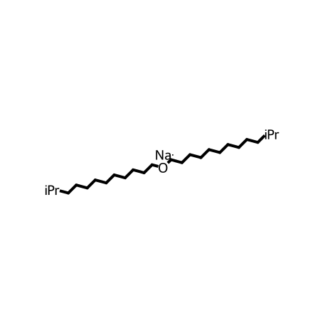 CC(C)CCCCCCCCCCOCCCCCCCCCCC(C)C.[Na]